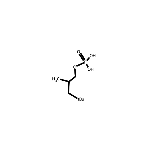 CC(COP(=O)(O)O)CC(C)(C)C